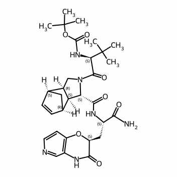 CC(C)(C)OC(=O)N[C@H](C(=O)N1C[C@H]2[C@@H]([C@H]1C(=O)N[C@@H](C[C@@H]1Oc3ccncc3NC1=O)C(N)=O)[C@H]1C=C[C@@H]2C1)C(C)(C)C